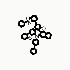 c1ccc(-c2ccc(N(c3cccc4c3sc3ccccc34)c3cc4ccccc4c4oc5cc(-c6cccc7oc(-c8ccccc8)nc67)ccc5c34)cc2)cc1